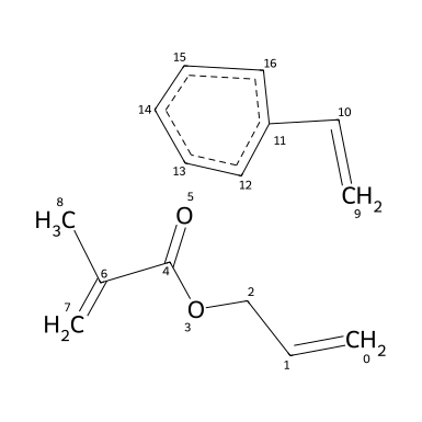 C=CCOC(=O)C(=C)C.C=Cc1ccccc1